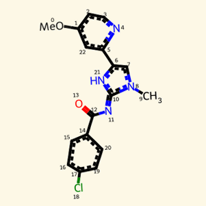 COc1ccnc(-c2cn(C)c(=NC(=O)c3ccc(Cl)cc3)[nH]2)c1